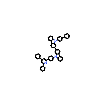 c1ccc(-c2ccc(-n3c4ccccc4c4ccc(-c5ccc6c7ccccc7n(-c7ccc(-c8cc(-c9ccccc9)cc(-c9ccccc9)n8)cc7)c6c5)cc43)cc2)cc1